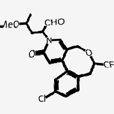 COC(C)CC(C=O)n1cc2c(cc1=O)-c1cc(Cl)ccc1CC(C(F)(F)F)OC2